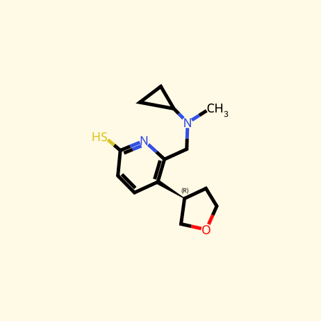 CN(Cc1nc(S)ccc1[C@H]1CCOC1)C1CC1